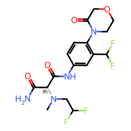 CN(CC(F)F)[C@H](C(N)=O)C(=O)Nc1ccc(N2CCOCC2=O)c(C(F)F)c1